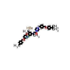 Br.C/C(=C\C(=O)N1CCN(Cc2ccc(COc3ccc(C(C)C)cc3)cc2)CC1)c1cc(C)c(Oc2ccc(OCc3ccc(C)cc3)cn2)c(Cl)c1